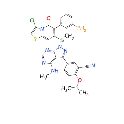 CNc1ncnc2c1c(-c1ccc(OC(C)C)c(C#N)c1)nn2[C@@H](C)c1cc2scc(Cl)n2c(=O)c1-c1cccc(P)c1